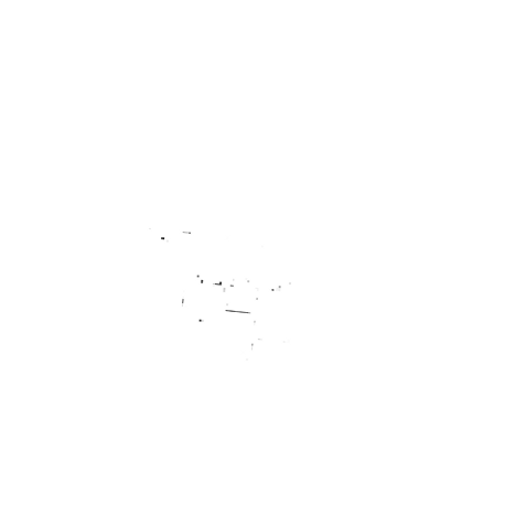 CCOC(=O)c1c(Cl)c(C(C)C(C)CCNC)n2ncccc12